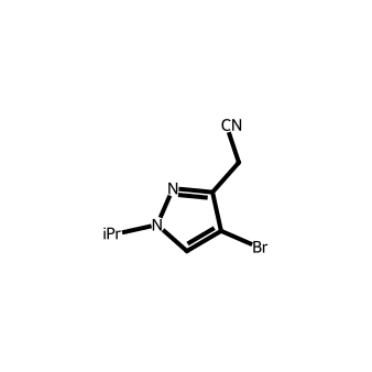 CC(C)n1cc(Br)c(CC#N)n1